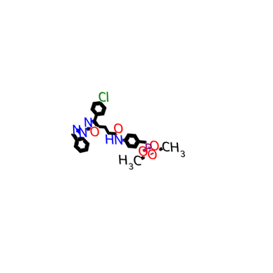 CCOP(=O)(Cc1ccc(NC(=O)CCc2oc(-n3ncc4ccccc43)nc2-c2ccc(Cl)cc2)cc1)OCC